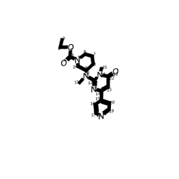 CCOC(=O)N1CCC[C@@H](N(C)c2nc(-c3ccncc3)cc(=O)n2C)C1